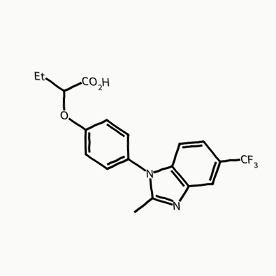 CCC(Oc1ccc(-n2c(C)nc3cc(C(F)(F)F)ccc32)cc1)C(=O)O